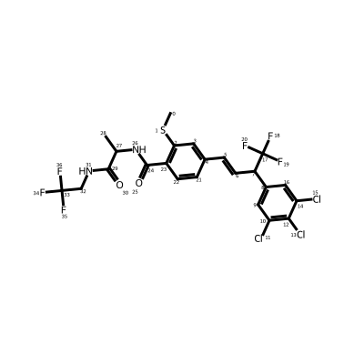 CSc1cc(/C=C/C(c2cc(Cl)c(Cl)c(Cl)c2)C(F)(F)F)ccc1C(=O)NC(C)C(=O)NCC(F)(F)F